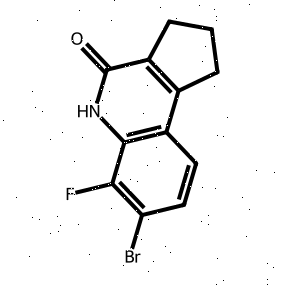 O=c1[nH]c2c(F)c(Br)ccc2c2c1CCC2